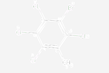 Cc1c(Cl)c(Cl)c(Cl)c(Br)c1Cl